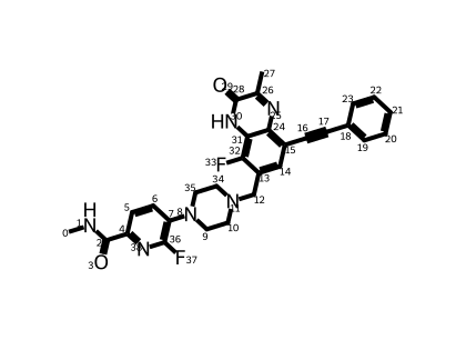 CNC(=O)c1ccc(N2CCN(Cc3cc(C#Cc4ccccc4)c4nc(C)c(=O)[nH]c4c3F)CC2)c(F)n1